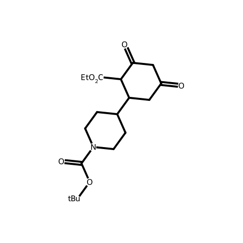 CCOC(=O)C1C(=O)CC(=O)CC1C1CCN(C(=O)OC(C)(C)C)CC1